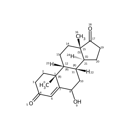 C[C@]12CCC(=O)C=C1C(O)C[C@@H]1[C@H]2CC[C@]2(C)C(=O)CC[C@@H]12